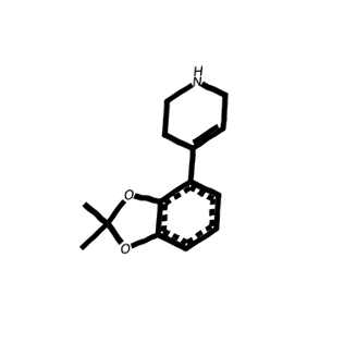 CC1(C)Oc2cccc(C3=CCNCC3)c2O1